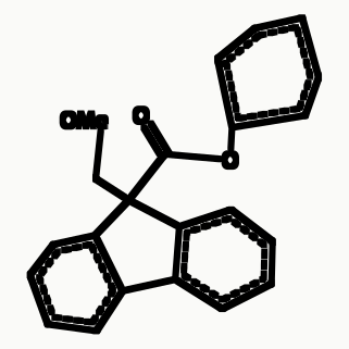 COCC1(C(=O)Oc2ccccc2)c2ccccc2-c2ccccc21